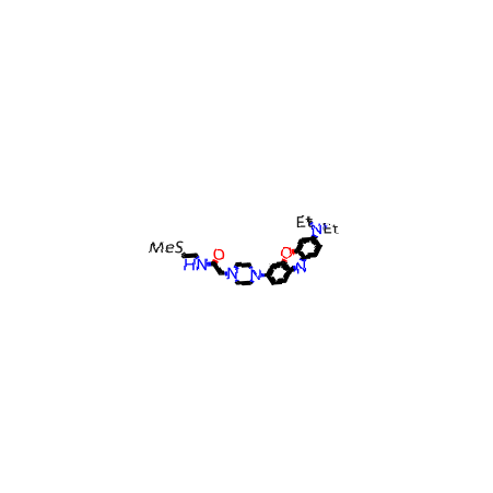 CC[N+](CC)=c1ccc2nc3ccc(N4CCN(CC(=O)NCCSC)CC4)cc3oc-2c1